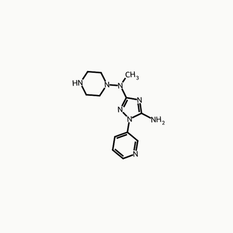 CN(c1nc(N)n(-c2cccnc2)n1)N1CCNCC1